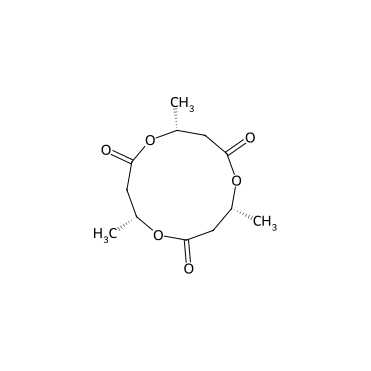 C[C@@H]1CC(=O)O[C@H](C)CC(=O)O[C@H](C)CC(=O)O1